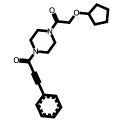 O=C(C#Cc1ccccc1)N1CCN(C(=O)COC2CCCC2)CC1